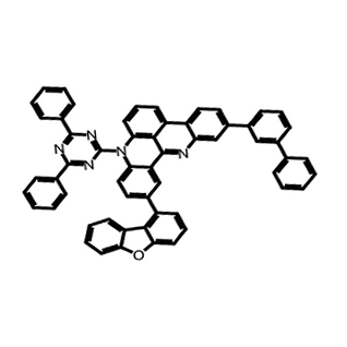 c1ccc(-c2cccc(-c3ccc4c(c3)nc3c5c(cccc54)N(c4nc(-c5ccccc5)nc(-c5ccccc5)n4)c4ccc(-c5cccc6oc7ccccc7c56)cc4-3)c2)cc1